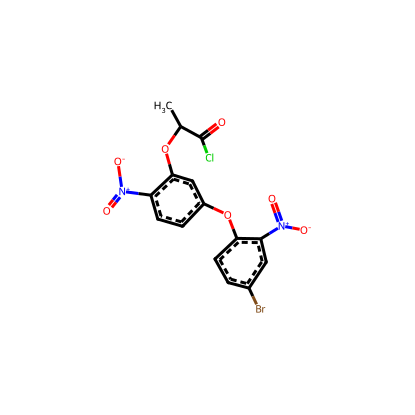 CC(Oc1cc(Oc2ccc(Br)cc2[N+](=O)[O-])ccc1[N+](=O)[O-])C(=O)Cl